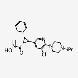 CC(C)N1CCN(c2ncc([C@H]3[C@H](C(=O)NO)[C@@H]3C3C=CC=CC3)cc2Cl)CC1